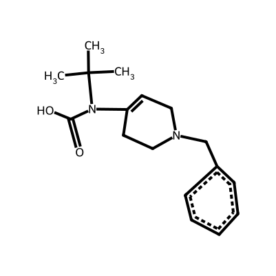 CC(C)(C)N(C(=O)O)C1=CCN(Cc2ccccc2)CC1